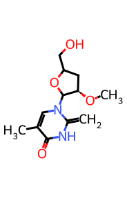 C=C1NC(=O)C(C)=CN1C1OC(CO)C[C@H]1OC